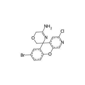 NC1=NC2(COC1)c1cc(Br)ccc1Oc1cnc(Cl)cc12